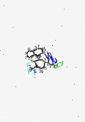 FC(F)(F)c1ccc(-c2cc(Cl)nnc2-c2ccc3ccccc3c2)cc1